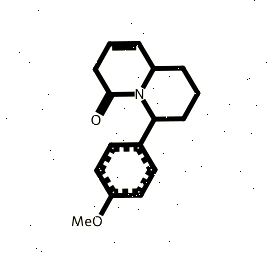 COc1ccc(C2CCCC3C=CCC(=O)N32)cc1